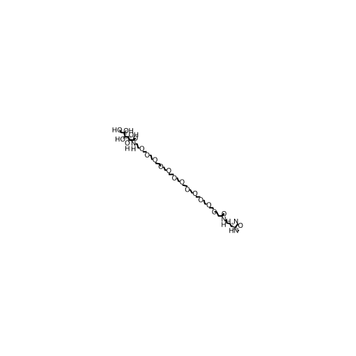 CN[C@@H](CCCCNC(=O)CCOCCOCCOCCOCCOCCOCCOCCOCCOCCOCCOCCOCCNC(=O)[C@H](O)[C@@H](O)[C@H](O)[C@H](O)CO)C(N)=O